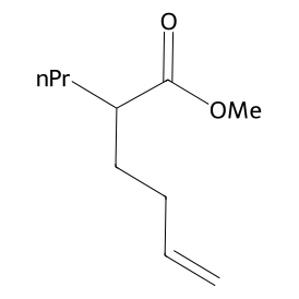 C=CCCC(CCC)C(=O)OC